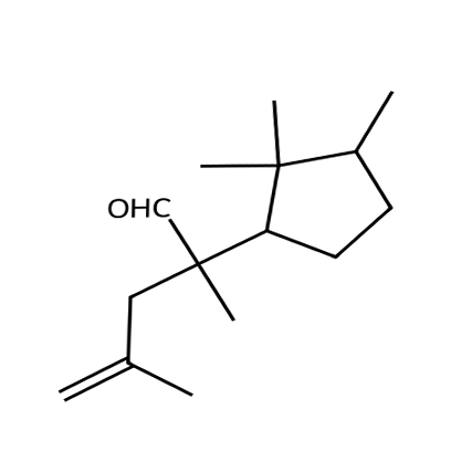 C=C(C)CC(C)(C=O)C1CCC(C)C1(C)C